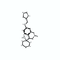 CN1Cc2cc(OCC3CCCC3)ccc2C(C2(O)CCCCC2)C1